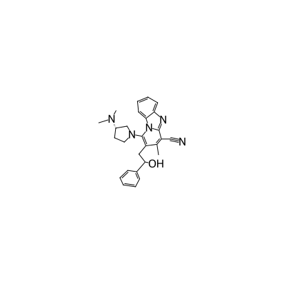 Cc1c(CC(O)c2ccccc2)c(N2CC[C@H](N(C)C)C2)n2c(nc3ccccc32)c1C#N